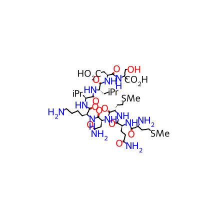 CSCC[C@H](NC(=O)[C@H](CCC(N)=O)NC(=O)[C@@H](N)CCSC)C(=O)N[C@@H](CC(N)=O)C(=O)N[C@@H](CCCCN)C(=O)N[C@H](C(=O)N[C@@H](CC(C)C)C(=O)N[C@@H](CC(=O)O)C(=O)N[C@@H](CO)C(=O)O)C(C)C